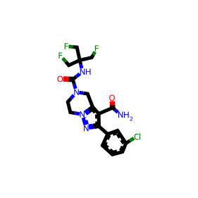 NC(=O)c1c(-c2cccc(Cl)c2)nn2c1CN(C(=O)NC(CF)(CF)CF)CC2